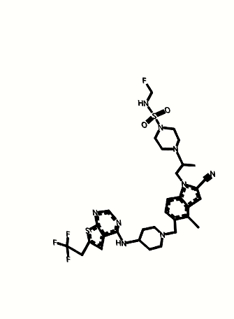 Cc1c(CN2CCC(Nc3ncnc4sc(CC(F)(F)F)cc34)CC2)ccc2c1cc(C#N)n2CC(C)N1CCN(S(=O)(=O)NCF)CC1